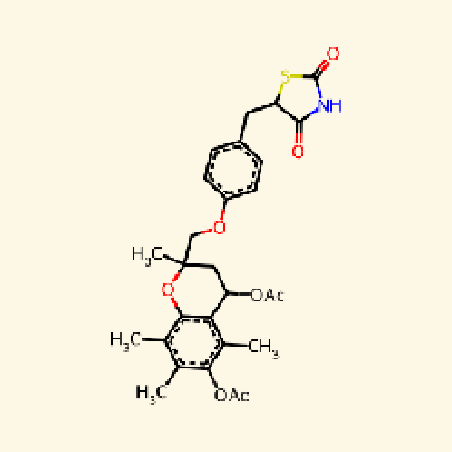 CC(=O)Oc1c(C)c(C)c2c(c1C)C(OC(C)=O)CC(C)(COc1ccc(CC3SC(=O)NC3=O)cc1)O2